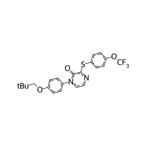 CC(C)(C)COc1ccc(-n2ccnc(Sc3ccc(OC(F)(F)F)cc3)c2=O)cc1